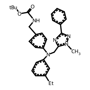 CCc1cccc(N(Cc2nc(-c3ccccc3)nn2C)c2ccc(CNC(=O)OC(C)(C)C)cc2)c1